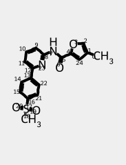 Cc1coc(C(=O)Nc2cccc(-c3ccc(S(C)(=O)=O)cc3)n2)c1